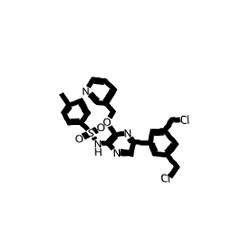 Cc1ccc(S(=O)(=O)Nc2ncc(-c3cc(CCl)cc(CCl)c3)nc2OCc2cccnc2)cc1